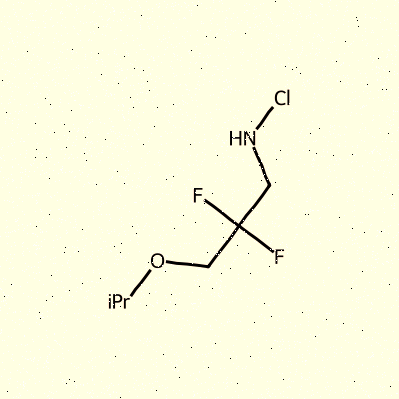 CC(C)OCC(F)(F)CNCl